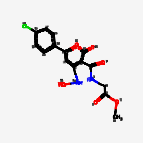 COC(=O)CNC(=O)c1c(NO)cc(-c2ccc(Cl)cc2)oc1=O